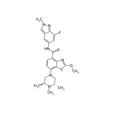 COc1nc2c(C(=O)Nc3cc(F)c4nn(C)cc4c3)ccc(N3C[C@H](C)N(C)[C@@H](C)C3)c2s1